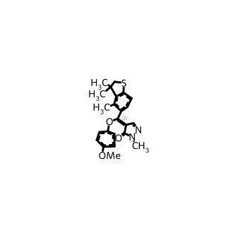 COc1ccc(O/C(=C2/C=NN(C)C2=O)c2ccc3c(c2C)C(C)(C)CS3)cc1